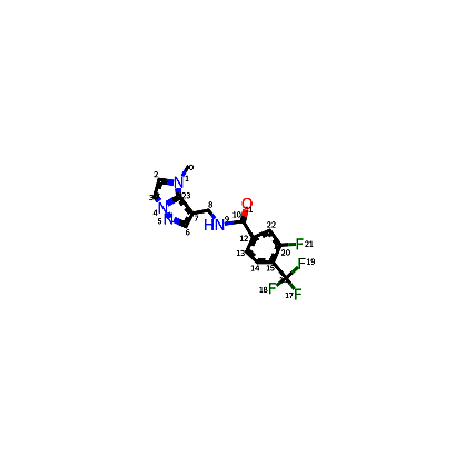 Cn1ccn2ncc(CNC(=O)c3ccc(C(F)(F)F)c(F)c3)c12